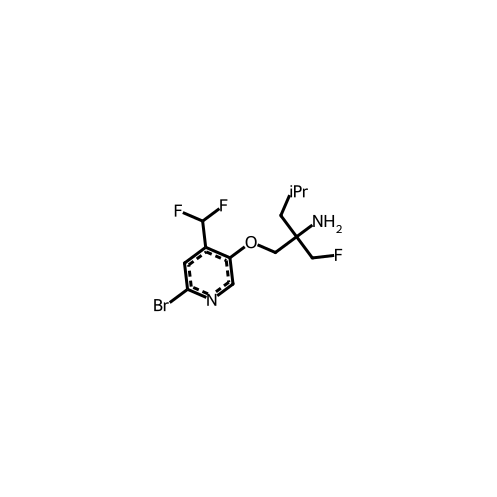 CC(C)CC(N)(CF)COc1cnc(Br)cc1C(F)F